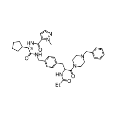 CCC(=O)NC(Cc1ccc(CNC(=O)[C@@H](NC(=O)c2ccnn2C)C2CCCC2)cc1)C(=O)N1CCN(Cc2ccccc2)CC1